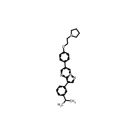 CC(C)c1cccc(-c2cnn3cc(-c4ccc(OCCN5CCCC5)cc4)cnc23)c1